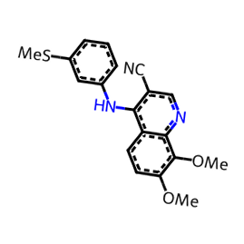 COc1ccc2c(Nc3cccc(SC)c3)c(C#N)cnc2c1OC